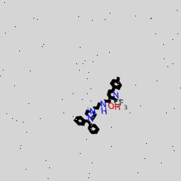 Cc1ccc(-c2ccc([C@@H](O)CNCCCN3CCN(C(c4ccccc4)c4ccccc4)CC3)c(C(F)(F)F)n2)cc1